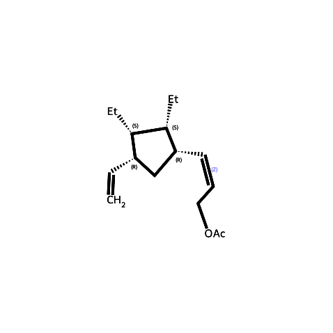 C=C[C@H]1C[C@@H](/C=C\COC(C)=O)[C@@H](CC)[C@H]1CC